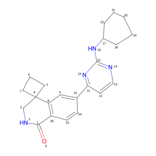 O=C1NCC2(CCC2)c2cc(-c3ccnc(NC4CCCCC4)n3)ccc21